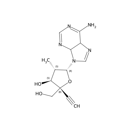 C#C[C@]1(CO)O[C@@H](N2C=NC3C(N)=NC=NC32)[C@@H](C)[C@@H]1O